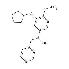 COc1ccc(C(O)Cc2ccncc2)cc1OC1CCCC1